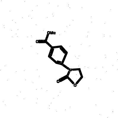 COC(=O)c1ccc(N2CCOC2=O)cc1